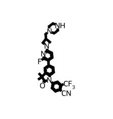 CC1(C)C(=O)N(c2ccc(C#N)c(C(F)(F)F)c2)c2ccc(-c3ccc(N4CC(CN5CCNCC5)C4)nc3F)cc21